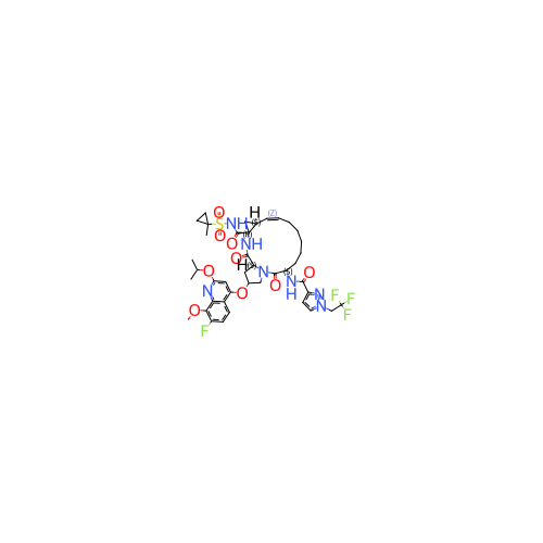 COc1c(F)ccc2c(OC3C[C@H]4C(=O)N[C@]5(C(=O)NS(=O)(=O)C6(C)CC6)C[C@H]5/C=C\CCCCC[C@H](NC(=O)c5ccn(CC(F)(F)F)n5)C(=O)N4C3)cc(OC(C)C)nc12